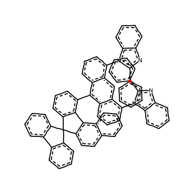 c1ccc(-c2nc3ccccc3n2-c2cccc3c(-c4cccc5c4-c4c(ccc6ccccc46)C54c5ccccc5-c5ccccc54)c4cccc(-n5c(-c6ccccc6)nc6ccccc65)c4cc23)cc1